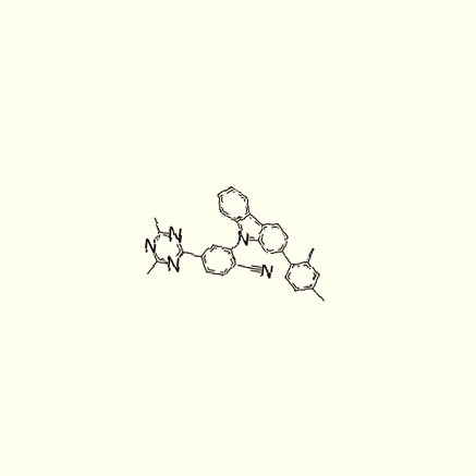 Cc1ccc(-c2ccc3c4ccccc4n(-c4cc(-c5nc(C)nc(C)n5)ccc4C#N)c3c2)c(C)c1